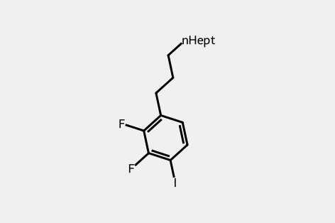 CCCCCCCCCCc1ccc(I)c(F)c1F